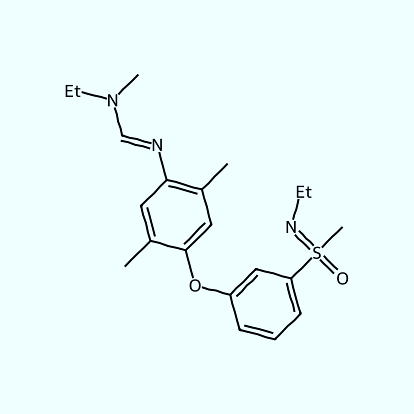 CCN=S(C)(=O)c1cccc(Oc2cc(C)c(/N=C/N(C)CC)cc2C)c1